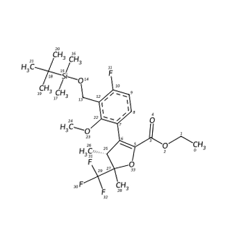 CCOC(=O)C1=C(c2ccc(F)c(CO[Si](C)(C)C(C)(C)C)c2OC)[C@@H](C)C(C)(C(F)(F)F)O1